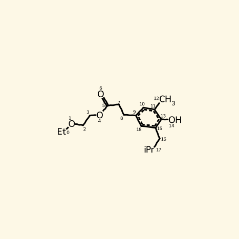 CCOCCOC(=O)CCc1cc(C)c(O)c(CC(C)C)c1